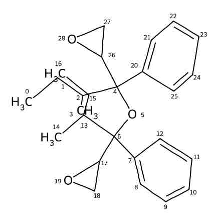 CCC(C)C(OC(c1ccccc1)(C(C)CC)C1CO1)(c1ccccc1)C1CO1